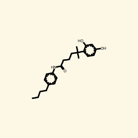 CCCCc1ccc(NC(=O)CCCC(C)(C)c2ccc(O)cc2O)cc1